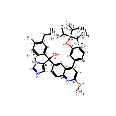 CCc1cc(C(O)(c2ccc3nc(OC)cc(-c4cccc(O[Si](C(C)C)(C(C)C)C(C)C)c4)c3c2)c2cncn2C)ccc1Br